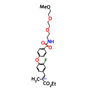 CCOC(=O)/C(C)=C/c1ccc(Oc2ccc(S(=O)(=O)NCCOCCOCCOC)cc2)c(F)c1